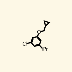 CC(C)c1cc(Cl)cc(OCC2CC2)c1